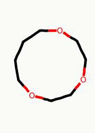 C1CCOCCOCCOC1